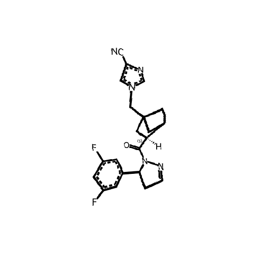 N#Cc1cn(CC23CC(C2)[C@@H](C(=O)N2N=CCC2c2cc(F)cc(F)c2)C3)cn1